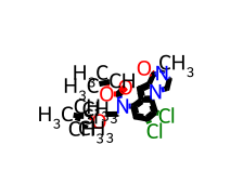 CN1CCn2c(cc3c(N(CCO[Si](C)(C)C(C)(C)C)C(=O)OC(C)(C)C)cc(Cl)c(Cl)c32)C1=O